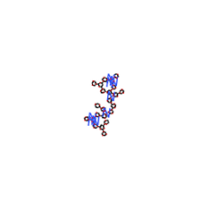 C1=CC(c2cc(-c3ccccc3)cc(-c3cccc(-c4nc(-c5ccccc5)nc(-c5cccc(-c6cccc7c6c6cc(-c8ccccc8)ccc6n7-c6cccc(-c7cccc(-c8cccc(-n9c%10ccc(-c%11ccccc%11)cc%10c%10c(-c%11cccc(-c%12nc(-c%13ccccc%13)nc(-c%13cccc(-c%14cc(-c%15ccccc%15)cc(-c%15ccccc%15)c%14)c%13)n%12)c%11)cccc%109)c8)c7)c6)c5)n4)c3)c2)=CCC1